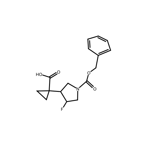 O=C(OCc1ccccc1)N1CC(F)C(C2(C(=O)O)CC2)C1